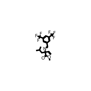 C=CC(CC(C)C)(N=Cc1cc(C(F)(F)F)cc(C(F)(F)F)c1)C(=O)OC